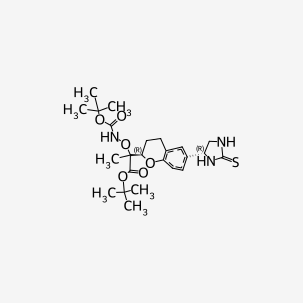 CC(C)(C)OC(=O)NOC(C)(C(=O)OC(C)(C)C)[C@H]1CCc2cc([C@@H]3CNC(=S)N3)ccc2O1